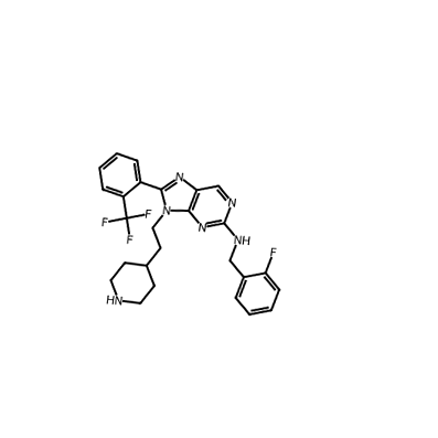 Fc1ccccc1CNc1ncc2nc(-c3ccccc3C(F)(F)F)n(CCC3CCNCC3)c2n1